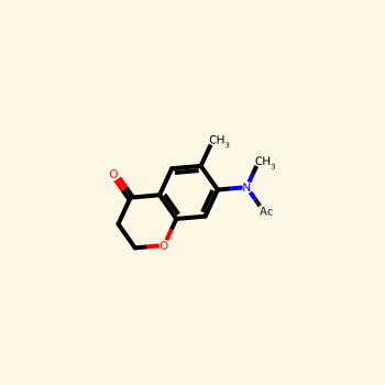 CC(=O)N(C)c1cc2c(cc1C)C(=O)CCO2